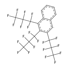 FC(F)(F)C(F)(F)C(F)(F)c1[c]c2ccccc2c(C(F)(F)C(F)(F)C(F)(F)F)c1C(F)(F)C(F)(F)C(F)(F)F